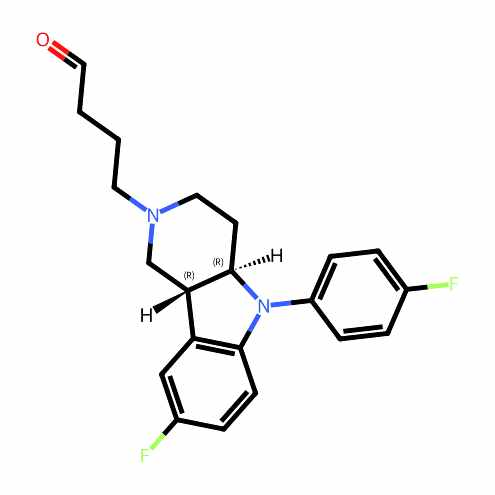 O=CCCCN1CC[C@@H]2[C@@H](C1)c1cc(F)ccc1N2c1ccc(F)cc1